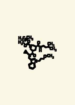 COCCCn1cc(CN(C(=O)[C@@H]2C[C@H](C(=O)NCCC(C)C)CN(C(=O)OC(C)(C)C)C2)C2CC2)c2ccccc21